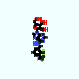 OC[C@H]1O[C@@H](n2cnc3c(NCc4cccc(C(F)(F)F)c4F)ncnc32)[C@H](O)[C@@H]1O